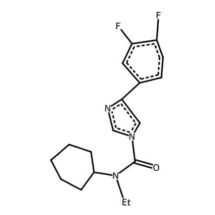 CCN(C(=O)n1cnc(-c2ccc(F)c(F)c2)c1)C1CCCCC1